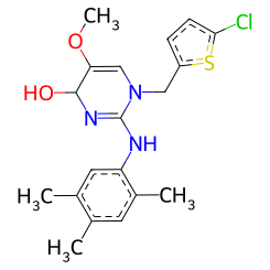 COC1=CN(Cc2ccc(Cl)s2)C(Nc2cc(C)c(C)cc2C)=NC1O